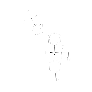 CC(C)c1ccc([C@](O)(c2cncc(-c3noc(C(C)(C)O)n3)c2)C2(F)CNC2)cc1